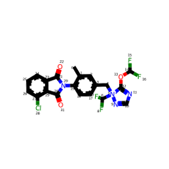 Cc1cc(C[N+]2(C(F)F)N=CN=C2OC(F)F)ccc1N1C(=O)c2cccc(Cl)c2C1=O